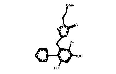 CCc1c(O)cc(O)c(-c2ccccc2)c1Cc1nn(CCOC)c(=O)o1